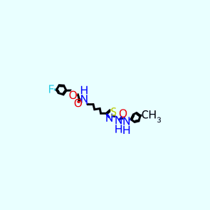 Cc1ccc(NC(=O)Nc2nc(CCCCCNC(=O)COCc3ccc(F)cc3)cs2)cc1